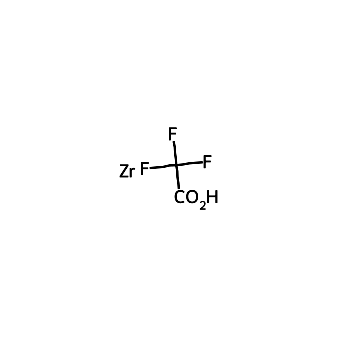 O=C(O)C(F)(F)F.[Zr]